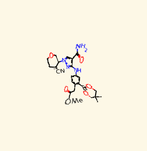 COC(=O)Cc1ccc(Nc2nn(C3COCC[C@@H]3C#N)cc2C(N)=O)cc1B1OCC(C)(C)CO1